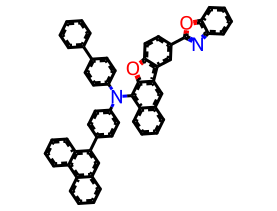 c1ccc(-c2ccc(N(c3ccc(-c4cc5ccccc5c5ccccc45)cc3)c3c4ccccc4cc4c3oc3ccc(-c5nc6ccccc6o5)cc34)cc2)cc1